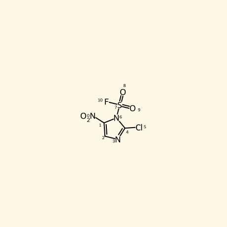 O=[N+]([O-])c1cnc(Cl)n1S(=O)(=O)F